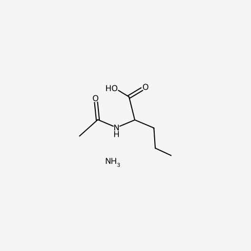 CCCC(NC(C)=O)C(=O)O.N